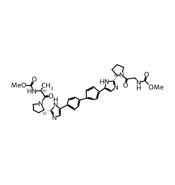 COC(=O)NCC(=O)N1CCC[C@H]1c1ncc(-c2ccc(-c3ccc(-c4cnc([C@@H]5CCCN5C(=O)[C@H](C)NC(=O)OC)[nH]4)cc3)cc2)[nH]1